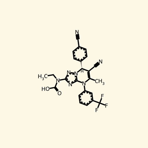 CCN(C(=O)O)c1nc2n(n1)[C@H](c1ccc(C#N)cc1)C(C#N)=C(C)N2c1cccc(C(F)(F)F)c1